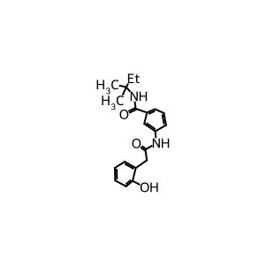 CCC(C)(C)NC(=O)c1cccc(NC(=O)Cc2ccccc2O)c1